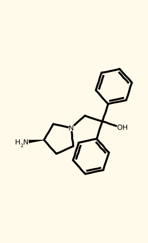 N[C@@H]1CCN(CC(O)(c2ccccc2)c2ccccc2)C1